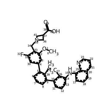 COc1cc(-c2cccc(-c3cccc(Nc4cccc5cccnc45)c3C)c2C)cc(F)c1CN1CC(C(=O)O)C1